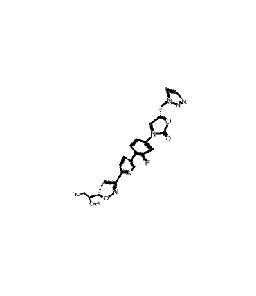 O=C1O[C@@H](Cn2ccnn2)CN1c1ccc(-c2ccc(C3=NO[C@H]([C@@H](O)CO)C3)nc2)c(F)c1